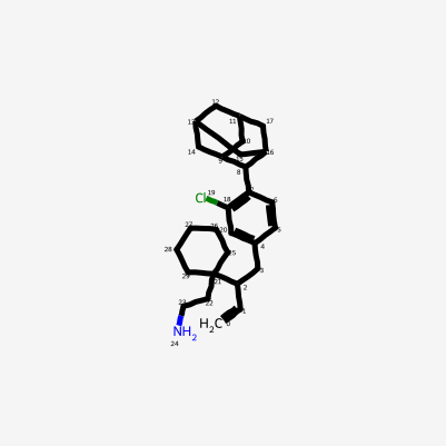 C=CC(Cc1ccc(C2C3CC4CC(C3)CC2C4)c(Cl)c1)C1(CCN)CCCCC1